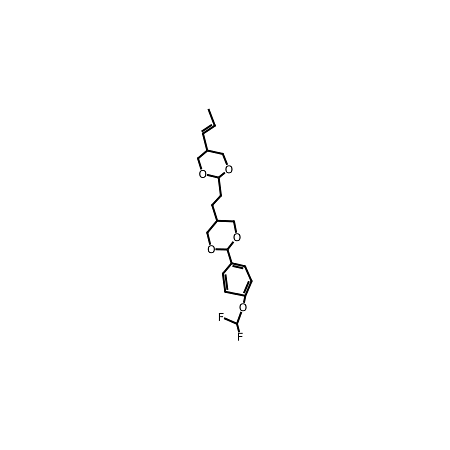 CC=CC1COC(CCC2COC(c3ccc(OC(F)F)cc3)OC2)OC1